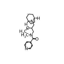 COC(CN(C)C(=O)c1ccncc1)CN1[C@@H]2C[CH]C[C@H]1CC2